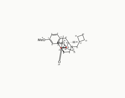 COc1ccc2c(c1)[C@]13CCN(CC4CCC4)[C@H](C2)[C@]1(OC)C(C)CC(=O)C3